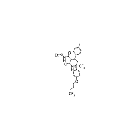 CCSNC(=O)C1=C(c2ccc(C)cc2)C[C@](c2ccc(OCCCC(F)(F)F)cc2)(C(F)(F)F)NC1=O